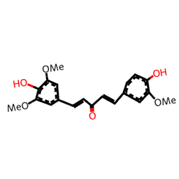 COc1cc(/C=C/C(=O)/C=C/c2cc(OC)c(O)c(OC)c2)ccc1O